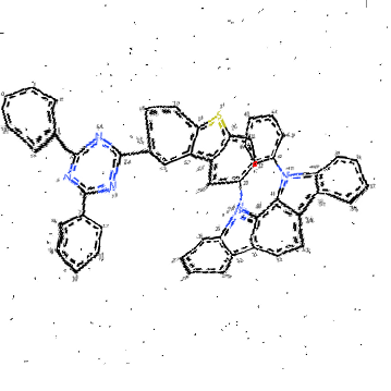 c1ccc(-c2nc(-c3ccccc3)nc(-c3ccc4sc5ccc(-n6c7ccccc7c7ccc8c9ccccc9n(-c9ccccc9)c8c76)cc5c4c3)n2)cc1